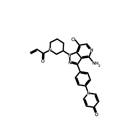 C=CC(=O)N1CCCC(n2nc(-c3ccc(-n4ccc(=O)cc4)cc3)c3c(N)ncc(Cl)c32)C1